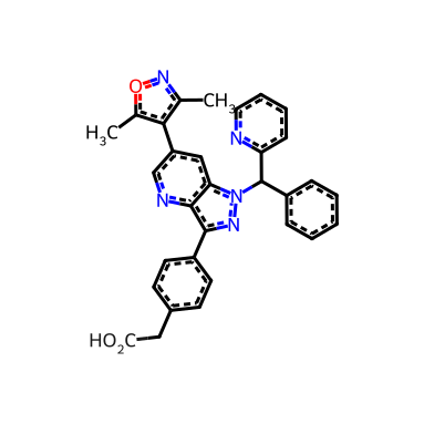 Cc1noc(C)c1-c1cnc2c(-c3ccc(CC(=O)O)cc3)nn(C(c3ccccc3)c3ccccn3)c2c1